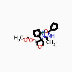 C=C(NC(=O)c1ccccc1)N[C@@]1(c2ccccc2F)CCOC[C@@H]1COCOC